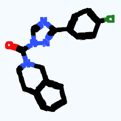 O=C(N1CCc2ccccc2C1)n1cnc(-c2ccc(Cl)cc2)n1